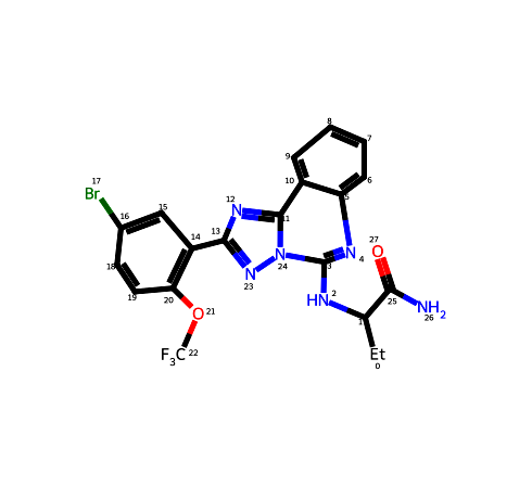 CCC(Nc1nc2ccccc2c2nc(-c3cc(Br)ccc3OC(F)(F)F)nn12)C(N)=O